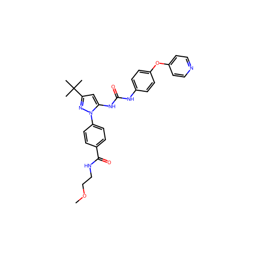 COCCNC(=O)c1ccc(-n2nc(C(C)(C)C)cc2NC(=O)Nc2ccc(Oc3ccncc3)cc2)cc1